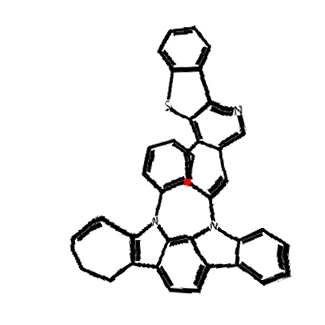 C1=Cc2c(c3ccc4c5ccccc5n(-c5ccc6c(cnc7c8ccccc8sc67)c5)c4c3n2-c2ccccc2)CC1